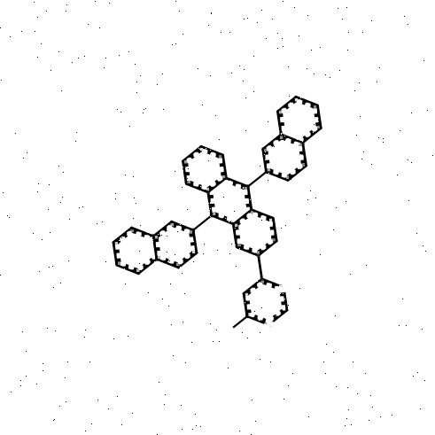 Cc1cc(-c2ccc3c(-c4ccc5ccccc5c4)c4ccccc4c(-c4ccc5ccccc5c4)c3c2)ncn1